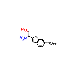 CCCCCCCCc1ccc2c(c1)CC([C@@H](N)CO)=C2